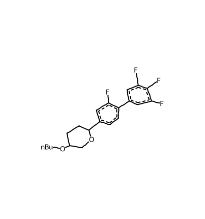 CCCCOC1CCC(c2ccc(-c3cc(F)c(F)c(F)c3)c(F)c2)OC1